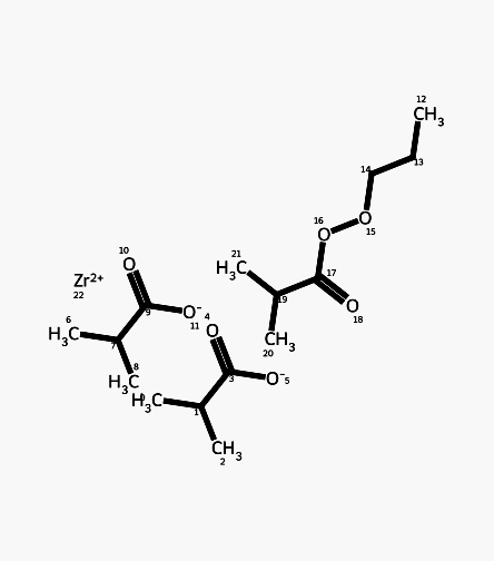 CC(C)C(=O)[O-].CC(C)C(=O)[O-].CCCOOC(=O)C(C)C.[Zr+2]